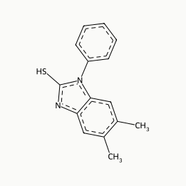 Cc1cc2nc(S)n(-c3ccccc3)c2cc1C